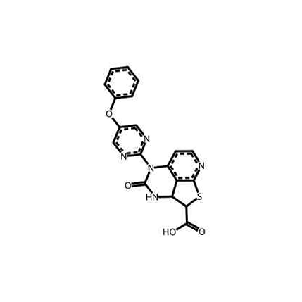 O=C(O)C1Sc2nccc3c2C1NC(=O)N3c1ncc(Oc2ccccc2)cn1